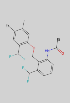 CCC(=O)Nc1cccc(C(F)F)c1COc1cc(C)c(CC)cc1C(F)F